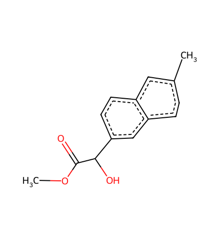 COC(=O)C(O)c1ccc2cc(C)ccc2c1